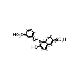 O=S(=O)(O)c1cccc(N=Nc2c(O)ccc3cc(S(=O)(=O)O)ccc23)c1